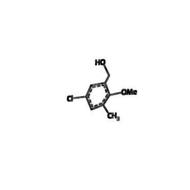 COc1c(C)cc(Cl)cc1CO